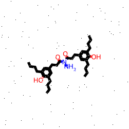 CCCCc1cc(CCC(=O)N(N)C(=O)CCc2cc(CCCC)c(O)c(CCCC)c2)cc(CCCC)c1O